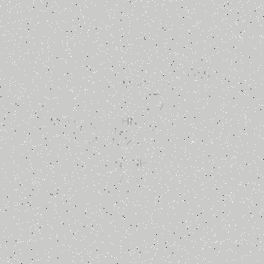 COCCOc1ccc(C(=O)Nc2cc(-c3nc4ccccc4[nH]3)n(Cc3ccc(OC)cc3)n2)cc1OC